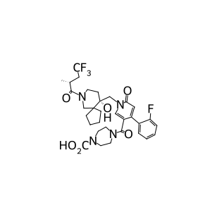 C[C@H](CC(F)(F)F)C(=O)N1CC[C@@](O)(Cn2cc(C(=O)N3CCN(C(=O)O)CC3)c(-c3ccccc3F)cc2=O)C2(CCCC2)C1